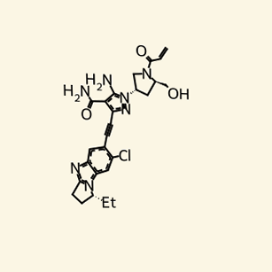 C=CC(=O)N1C[C@@H](n2nc(C#Cc3cc4nc5n(c4cc3Cl)[C@H](CC)CC5)c(C(N)=O)c2N)C[C@@H]1CO